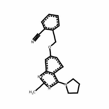 Cc1nc(N2CCCC2)c2ccc(OCc3ccccc3C#N)cc2n1